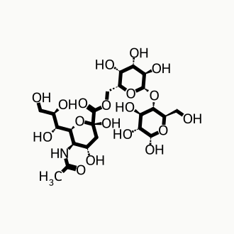 CC(=O)N[C@H]1[C@H]([C@H](O)[C@H](O)CO)O[C@](O)(C(=O)OC[C@H]2O[C@@H](O[C@H]3[C@H](O)[C@@H](O)[C@@H](O)O[C@@H]3CO)[C@H](O)[C@@H](O)[C@H]2O)C[C@@H]1O